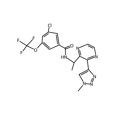 CC(NC(=O)c1cc(Cl)cc(OC(F)(F)F)c1)c1nccnc1-c1cn(C)nn1